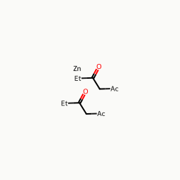 CCC(=O)CC(C)=O.CCC(=O)CC(C)=O.[Zn]